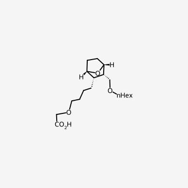 CCCCCCOC[C@@H]1[C@H](CCCCOCC(=O)O)[C@@H]2CC[C@H]1O2